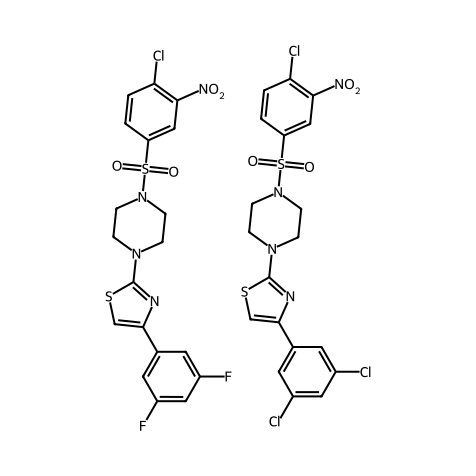 O=[N+]([O-])c1cc(S(=O)(=O)N2CCN(c3nc(-c4cc(Cl)cc(Cl)c4)cs3)CC2)ccc1Cl.O=[N+]([O-])c1cc(S(=O)(=O)N2CCN(c3nc(-c4cc(F)cc(F)c4)cs3)CC2)ccc1Cl